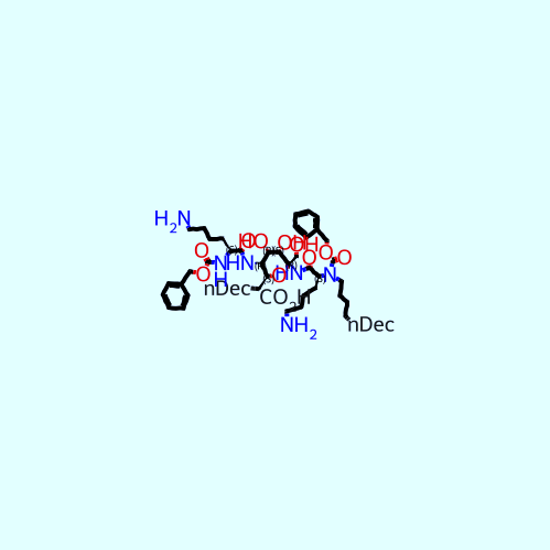 CCCCCCCCCCCCCCN(C(=O)OCc1ccccc1)[C@@H](CCCCN)C(=O)N[C@]1(CO)O[C@@H](C(CCCCCCCCCC)C(=O)O)[C@H](NC(=O)[C@H](CCCCN)NC(=O)OCc2ccccc2)[C@@H](O)[C@@H]1O